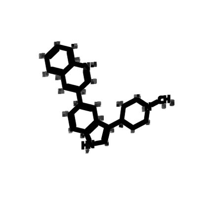 CN1CCC(c2c[nH]c3ccc(-c4cnc5ccccc5c4)cc23)CC1